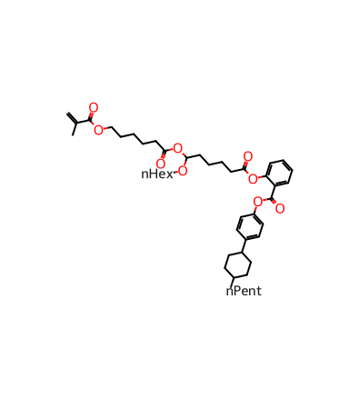 C=C(C)C(=O)OCCCCCC(=O)OC(CCCCC(=O)Oc1ccccc1C(=O)Oc1ccc(C2CCC(CCCCC)CC2)cc1)OCCCCCC